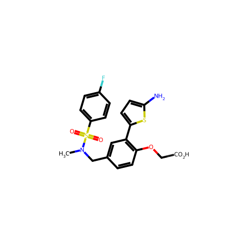 CN(Cc1ccc(OCC(=O)O)c(-c2ccc(N)s2)c1)S(=O)(=O)c1ccc(F)cc1